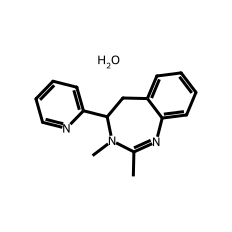 CC1=Nc2ccccc2CC(c2ccccn2)N1C.O